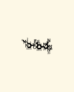 CCN(C)c1cc(COc2ccc(-c3cc4c(ncn4C)c(C#N)n3)cc2C(F)(F)F)ccn1